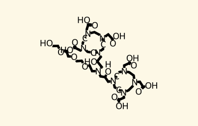 O=C(O)CN1CCN(CC(=O)O)CCN(CC(O)CN(CCOCCOCCOCCO)CC(O)CN2CCN(CC(=O)O)CCN(CC(=O)O)CCN(CC(=O)O)CC2)CCN(CC(=O)O)CC1